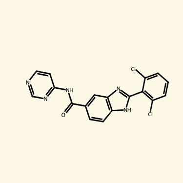 O=C(Nc1ccncn1)c1ccc2[nH]c(-c3c(Cl)cccc3Cl)nc2c1